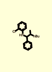 CCCCC(C)C(Nc1ccccc1Cl)c1ccccc1